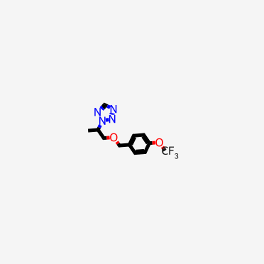 CC(COCc1ccc(OC(F)(F)F)cc1)n1ncnn1